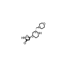 O=c1cc([C@@H]2CCN[C@@H](CN3CCOCC3)C2)o[nH]1